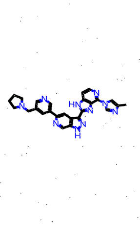 Cc1cn(-c2nccc3[nH]c(-c4n[nH]c5cnc(-c6cncc(CN7CCCC7)c6)cc45)nc23)cn1